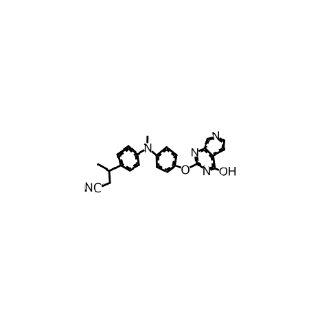 CC(CC#N)c1ccc(N(C)c2ccc(Oc3nc(O)c4ccncc4n3)cc2)cc1